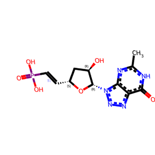 Cc1nc2c(nnn2[C@@H]2O[C@H](/C=C/P(=O)(O)O)C[C@H]2O)c(=O)[nH]1